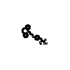 COC(Cc1ccc(OCCCN2c3ccccc3CCCc3ccccc32)cc1)C(=O)O